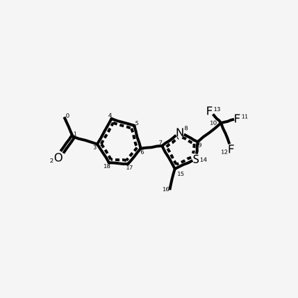 CC(=O)c1ccc(-c2nc(C(F)(F)F)sc2C)cc1